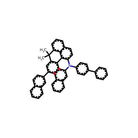 CC1(C)c2cc(-c3ccc4ccccc4c3)ccc2-c2c(N(c3ccc(-c4ccccc4)cc3)c3ccc4ccccc4c3)ccc3cccc1c23